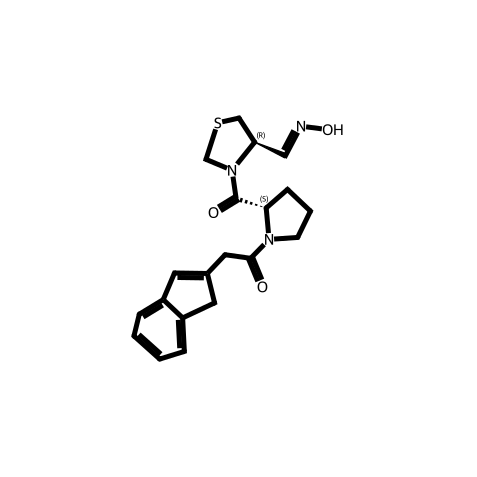 O=C([C@@H]1CCCN1C(=O)CC1=Cc2ccccc2C1)N1CSC[C@H]1C=NO